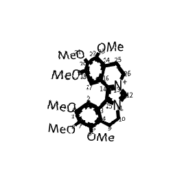 COc1cc2c(c(OC)c1OC)CCn1c[n+]3c(c1-2)-c1cc(OC)c(OC)c(OC)c1CC3